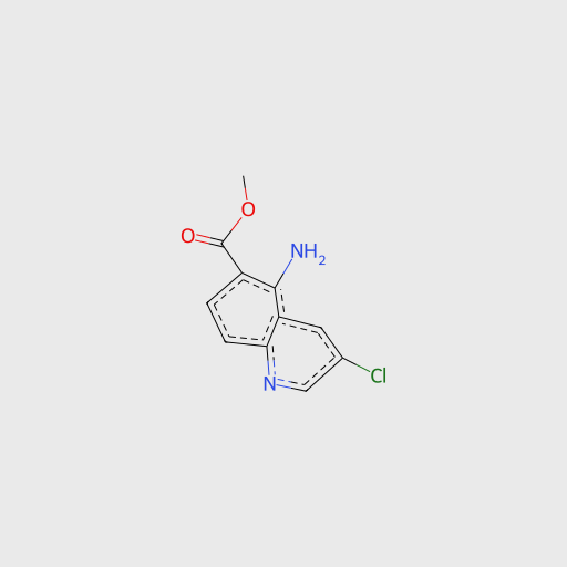 COC(=O)c1ccc2ncc(Cl)cc2c1N